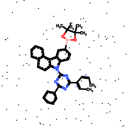 C/C=C\C(=C/C)c1nc(-c2ccccc2)nc(-n2c3ccc(B4OC(C)(C)C(C)(C)O4)cc3c3c4ccccc4ccc32)n1